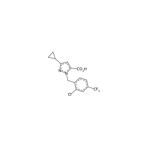 O=C(O)c1cc(C2CC2)nn1Cc1ccc(C(F)(F)F)cc1Cl